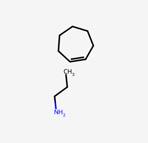 C1=CCCCCC1.CCCN